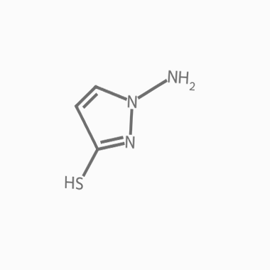 Nn1ccc(S)n1